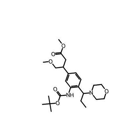 CCC(c1ccc(C(COC)CC(=O)OC)cc1NC(=O)OC(C)(C)C)N1CCOCC1